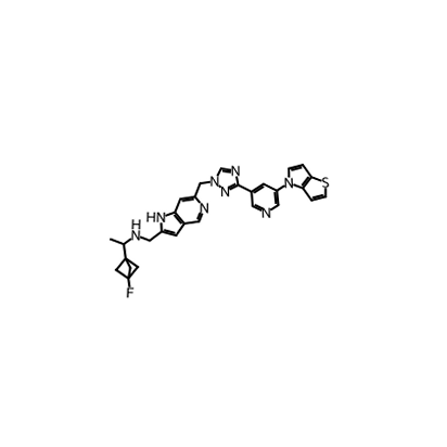 CC(NCc1cc2cnc(Cn3cnc(-c4cncc(-n5ccc6sccc65)c4)n3)cc2[nH]1)C12CC(F)(C1)C2